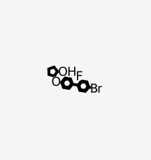 OC1CCCC1Oc1ccc(-c2ccc(Br)cc2F)cc1